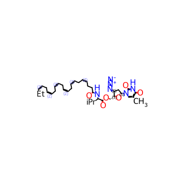 CC/C=C\C/C=C\C/C=C\C/C=C\C/C=C\C/C=C\CCC(=O)NC(C(=O)OC[C@H]1O[C@H](n2cc(C)c(=O)[nH]c2=O)C[C@@H]1N=[N+]=[N-])C(C)C